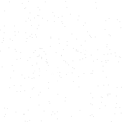 CC(C)(C)N1CC(c2ccc(F)cc2)[C@@H](C(=O)N2CCC(CN3C(=O)OCC3(C)C)(C3CCCCC3)CC2)C1.O=C(O)C(F)(F)F